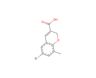 Cc1cc(Br)cc2c1OCC(C(=O)O)=C2